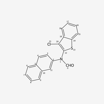 O=CN(c1ccc2ccccc2c1)c1sc2ccccc2c1Cl